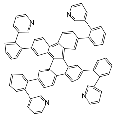 c1cncc(-c2ccccc2-c2ccc3c4ccc(-c5ccccc5-c5cccnc5)cc4c4c5cc(-c6ccccc6-c6cccnc6)ccc5c5ccc(-c6ccccc6-c6cccnc6)cc5c4c3c2)c1